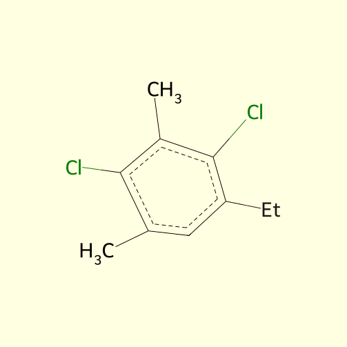 CCc1cc(C)c(Cl)c(C)c1Cl